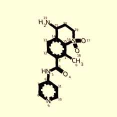 Cc1c(C(=O)Nc2ccncc2)ccc2c1S(=O)(=O)CCC2N